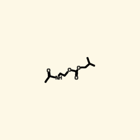 CC(=O)NCCOC(=O)OCC(C)C